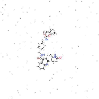 Cc1[nH]c(=O)ccc1-c1cc(C(=O)NC[C@H]2CC[C@H](CNC(=O)OC(C)(C)C)CC2)c2ccccc2n1